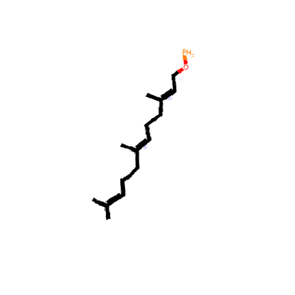 CC(C)=CCC/C(C)=C/CC/C(C)=C/COP